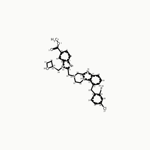 COC(=O)c1ccc2nc(CN3CCn4c(nc5cccc(Cc6ccc(Cl)cc6F)c54)C3)n(C[C@@H]3CCO3)c2c1